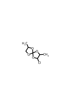 CC1COC2(O1)OC(C)C(Cl)O2